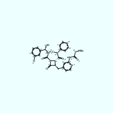 CCC[C@@H](NC(=O)N1C(=O)[C@H](Cc2ccnc(NC(=O)OC(C)(C)C)c2)[C@H]1C(=O)N(C)c1ccncc1)c1cccc(Cl)c1